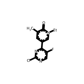 CCn1cc(-c2nc(Cl)ncc2F)cc(C)c1=O